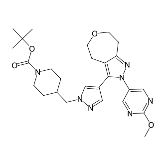 COc1ncc(-n2nc3c(c2-c2cnn(CC4CCN(C(=O)OC(C)(C)C)CC4)c2)CCOCC3)cn1